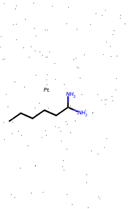 CCCCCC(N)N.[Pt]